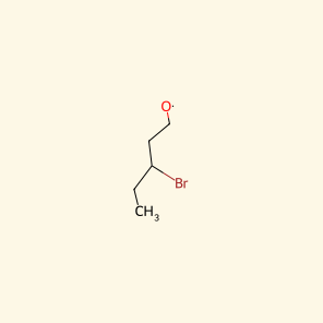 CCC(Br)CC[O]